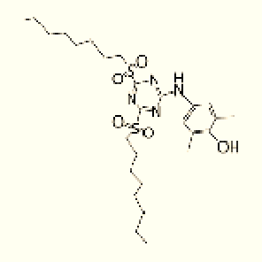 CCCCCCCCS(=O)(=O)c1nc(Nc2cc(C)c(O)c(C)c2)nc(S(=O)(=O)CCCCCCCC)n1